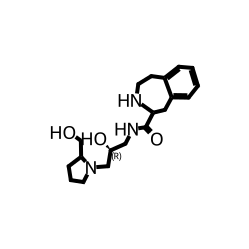 O=C(NC[C@@H](O)CN1CCCC1CO)C1Cc2ccccc2CCN1